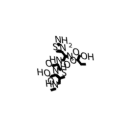 CCNCC1=C(C(=O)O)N2C(=O)C(NC(=O)/C(=N\OC(CC)C(=O)O)c3csc(N)n3)[C@@H]2SC1